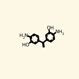 C=C(c1ccc(N)c(O)c1)c1ccc(N)c(O)c1